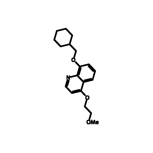 COCCOc1ccnc2c(OCC3CCCCC3)cccc12